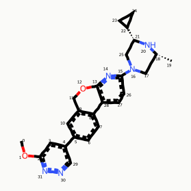 COc1cc(-c2ccc3c(c2)COc2nc(N4C[C@@H](C)N[C@@H](C5CC5)C4)ccc2-3)cnn1